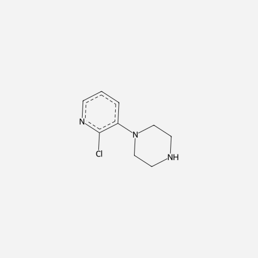 Clc1ncccc1N1CCNCC1